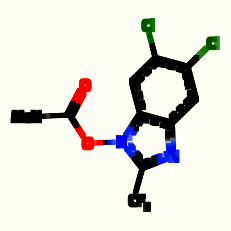 CNC(=O)On1c(C(F)(F)F)nc2cc(Cl)c(Cl)cc21